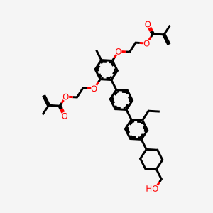 C=C(C)C(=O)OCCOc1cc(-c2ccc(-c3ccc(C4CCC(CO)CC4)cc3CC)cc2)c(OCCOC(=O)C(=C)C)cc1C